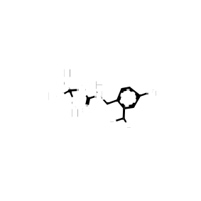 CC(C)(C)OC(=O)NCc1ccc(Br)cc1C(F)F